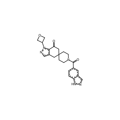 O=C1CC2(CCN(C(=O)c3ccc4[nH]ncc4c3)CC2)Cc2cnn(C3COC3)c21